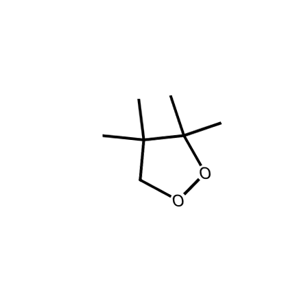 CC1(C)COOC1(C)C